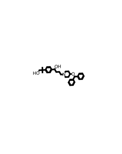 CC(C)(CO)c1ccc(C(O)CCCN2CCC(OC(c3ccccc3)c3ccccc3)CC2)cc1